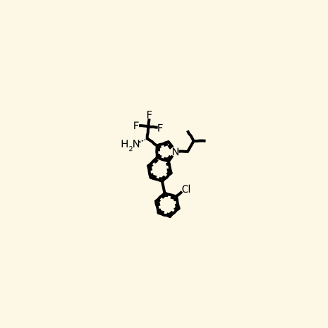 CC(C)Cn1cc([C@H](N)C(F)(F)F)c2ccc(-c3ccccc3Cl)cc21